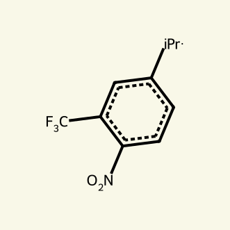 C[C](C)c1ccc([N+](=O)[O-])c(C(F)(F)F)c1